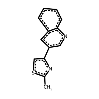 Cc1nc(-c2cnc3ccccc3c2)cs1